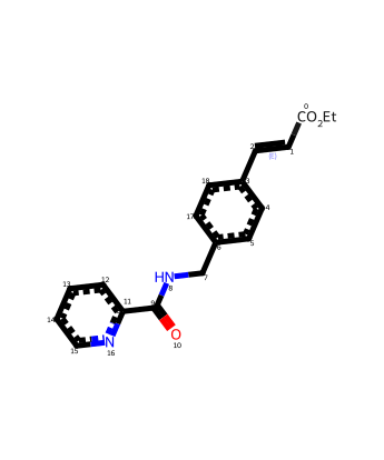 CCOC(=O)/C=C/c1ccc(CNC(=O)c2ccccn2)cc1